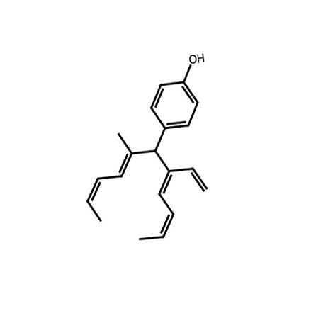 C=C/C(=C\C=C/C)C(/C(C)=C/C=C\C)c1ccc(O)cc1